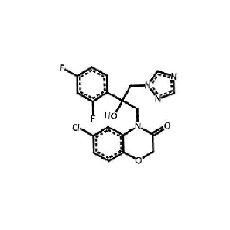 O=C1COc2ccc(Cl)cc2N1CC(O)(Cn1cncn1)c1ccc(F)cc1F